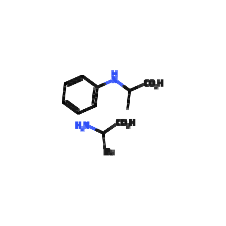 CC(Nc1ccccc1)C(=O)O.CCC(C)C(N)C(=O)O